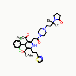 CCC(CC)(CCN1CCN(C(=O)CC2=C(C(=O)OC)C(c3c(Cl)cccc3Cl)C(C(=O)OC)=C(CCc3nccs3)N2)CC1)N1CCCC1=O